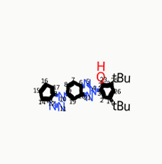 CC(C)(C)c1cc(-n2nc3ccc(-n4nnc5ccccc54)cc3n2)c(O)c(C(C)(C)C)c1